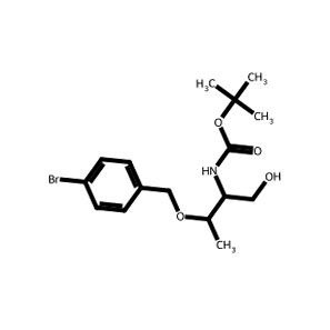 CC(OCc1ccc(Br)cc1)C(CO)NC(=O)OC(C)(C)C